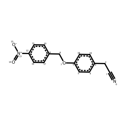 N#CCc1ccc(OCc2ccc([N+](=O)[O-])cc2)cc1